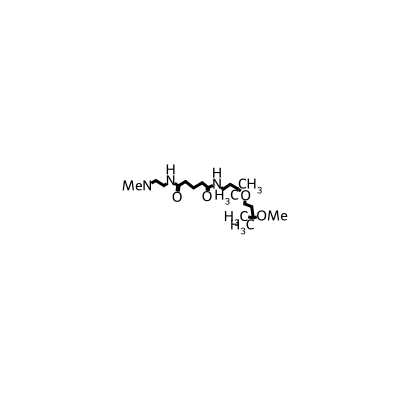 CNCCNC(=O)CCCC(=O)NCCC(C)(C)OCCC(C)(C)OC